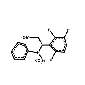 O=CC[C@@H](c1c(F)ccc(Cl)c1F)N(C(=O)O)c1ccccc1